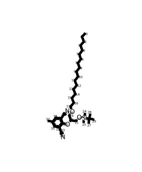 CCCCCCCCCCCCCCCCCCOCC(CO[Si](C)(C)C(C)(C)C)Oc1c(C#N)cc(C)cc1C#N